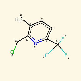 Cc1ccc(C(F)(F)F)nc1CCl